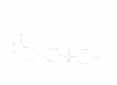 COC(=O)c1c[nH]c2ncc(-c3ccc(S(=O)(=O)N4CCN(C)CC4)cc3)cc12